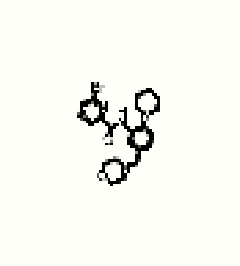 O=C(Nc1cc(CN2CCOCC2)ccc1N1CCCCC1)c1cccc(Br)n1